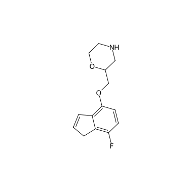 Fc1ccc(OCC2CNCCO2)c2c1CC=C2